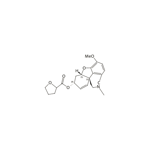 COc1ccc2c3c1O[C@H]1C[C@@H](OC(=O)C4CCCO4)C=C[C@@]31CCN(C)C2